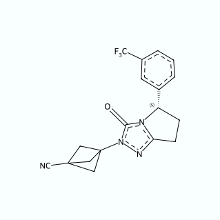 N#CC12CC(n3nc4n(c3=O)[C@H](c3cccc(C(F)(F)F)c3)CC4)(C1)C2